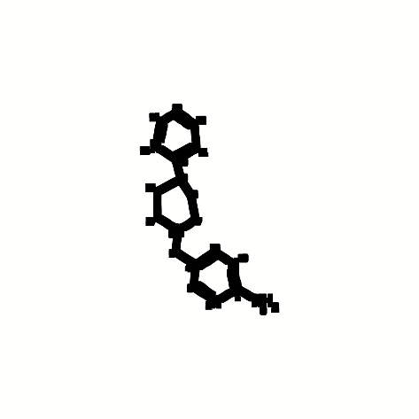 Nc1ncc(CN2CCC(c3ccccn3)CC2)cn1